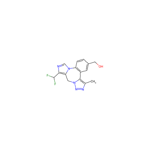 Cc1nnn2c1-c1cc(CO)ccc1-n1cnc(C(F)F)c1C2